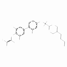 CCCCC1COC(C(F)(F)Oc2ccc(-c3cc(F)c(OC(F)=C(F)F)c(F)c3)c(F)c2)OC1